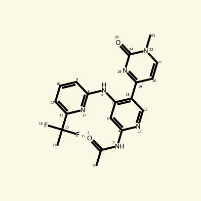 CC(=O)Nc1cc(Nc2cccc(C(C)(F)F)n2)c(-c2ccn(C)c(=O)n2)cn1